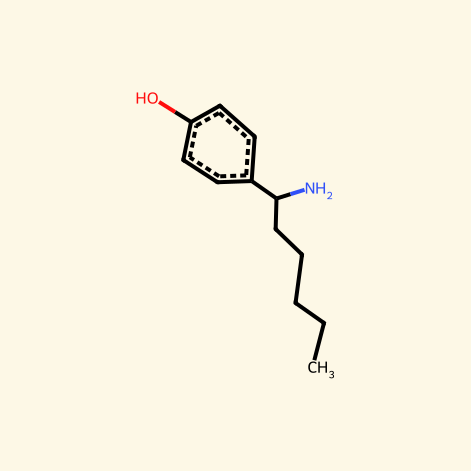 CCCCCC(N)c1ccc(O)cc1